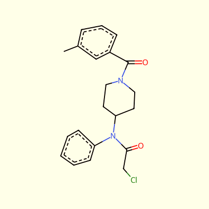 Cc1cccc(C(=O)N2CCC(N(C(=O)CCl)c3ccccc3)CC2)c1